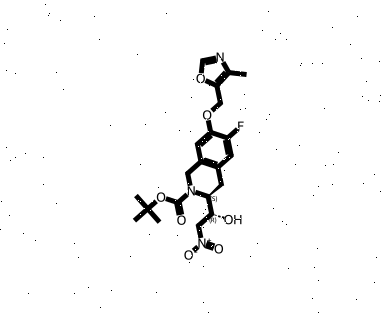 Cc1ncoc1COc1cc2c(cc1F)C[C@@H]([C@H](O)C[N+](=O)[O-])N(C(=O)OC(C)(C)C)C2